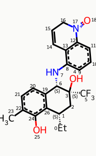 CC[C@H]1C[C@@](O)(C(F)(F)F)[C@@H](Nc2cccc3c2C=CC[N+]3=O)c2ccc(C)c(O)c21